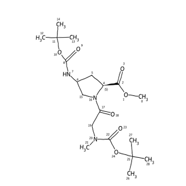 COC(=O)[C@@H]1CC(NC(=O)OC(C)(C)C)CN1C(=O)CN(C)C(=O)OC(C)(C)C